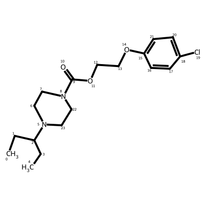 CCC(CC)N1CCN(C(=O)OCCOc2ccc(Cl)cc2)CC1